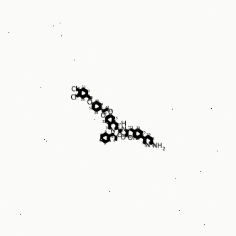 CC[C@@H](c1ccccc1)N1Cc2cc3c(cc2C[C@H]1C(=O)N[C@@H](Cc1ccc(-c2ccc(N)nc2)cc1)C(=O)O)OC[C@H](c1ccc(OCc2ccc(Cl)c(Cl)c2)cc1)O3